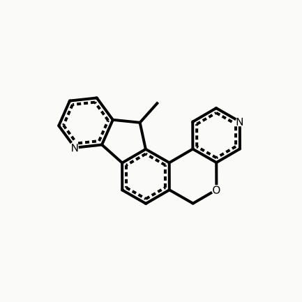 CC1c2cccnc2-c2ccc3c(c21)-c1ccncc1OC3